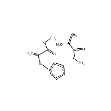 C=C(C)C(=O)OC.C=C(Oc1ccccc1)C(=O)OC